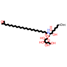 CCCCCCCCCCCCCC[C@@H](O)[C@@H](O)[C@H](COC1OC(CO)C(O)C(O)C1O)NC(=O)CCCCCCCCCCCCCCCCCCCCCCC1COC1